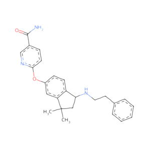 CC1(C)CC(NCCc2ccccc2)c2ccc(Oc3ccc(C(N)=O)cn3)cc21